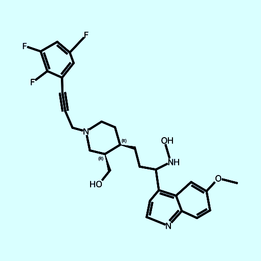 COc1ccc2nccc(C(CC[C@@H]3CCN(CC#Cc4cc(F)cc(F)c4F)C[C@@H]3CO)NO)c2c1